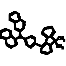 CC1(C)c2ccccc2-c2c(-c3ccc(N(c4ccc5ccccc5c4)c4cccc5ccccc45)cc3)cccc21